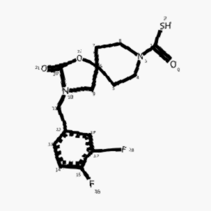 O=C(S)N1CCC2(CC1)CN(Cc1ccc(F)c(F)c1)C(=O)O2